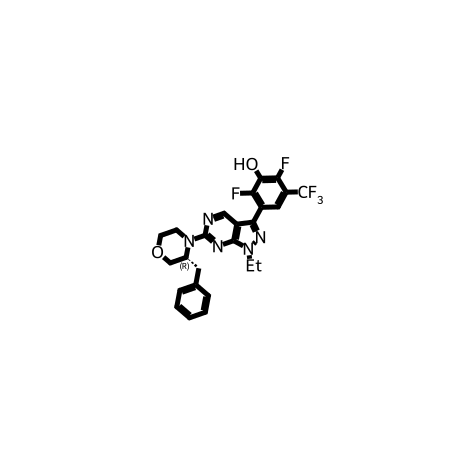 CCn1nc(-c2cc(C(F)(F)F)c(F)c(O)c2F)c2cnc(N3CCOC[C@H]3Cc3ccccc3)nc21